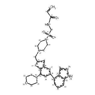 C=CC(=O)NCS(=O)(=O)N1CCN(Cc2cc3nc(-c4cccc5[nH]ncc45)nc(N4CCOCC4)c3s2)CC1